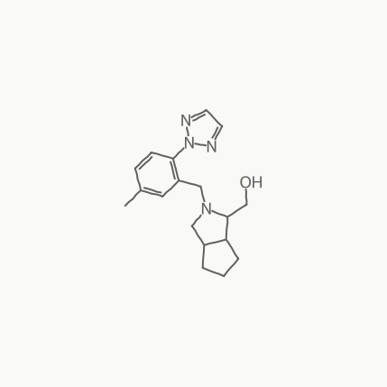 Cc1ccc(-n2nccn2)c(CN2CC3CCCC3C2CO)c1